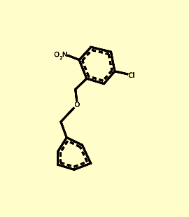 O=[N+]([O-])c1ccc(Cl)cc1COCc1ccccc1